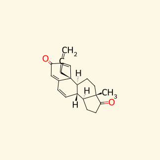 C=C=C[C@]12C=CC(=O)C=C1C=C[C@@H]1[C@@H]2CC[C@]2(C)C(=O)CC[C@@H]12